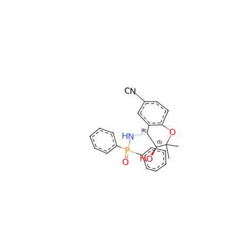 [C-]#[N+]c1ccc2c(c1)[C@@H](NP(=O)(c1ccccc1)c1ccccc1)[C@H](O)C(C)(C)O2